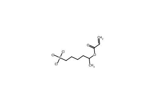 C=CC(=O)OC(C)CCCC[Si](Cl)(Cl)Cl